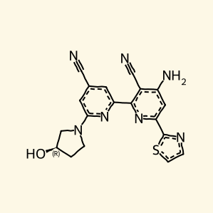 N#Cc1cc(-c2nc(-c3nccs3)cc(N)c2C#N)nc(N2CC[C@@H](O)C2)c1